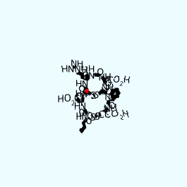 C#CCCC(=O)N[C@H]1CSSC[C@@H](C(=O)O)NC(=O)[C@H](Cc2ccccc2)NC(=O)[C@@H]2CSSC[C@H](NC(=O)[C@H](CC(=O)O)NC1=O)C(=O)N[C@@H](CCCNC(=N)N)C(=O)NCC(=O)N[C@@H](CC(=O)O)C(=O)N2